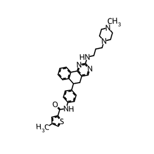 Cc1csc(C(=O)Nc2ccc(C3Cc4cnc(NCCCN5CCN(C)CC5)nc4-c4ccccc43)cc2)c1